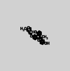 CC1=C(c2cccc(O)c2)C(c2ccc(OCCN3CCOC(C)C3)cc2)Oc2ccc(O)cc21